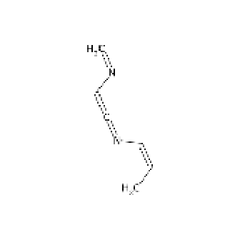 C=NC=C=N/C=C\C